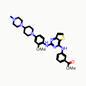 COC(=O)c1cccc(Nc2nc(Nc3ccc(N4CCC(N5CCN(C)CC5)CC4)cc3OC)nc3ccsc23)c1